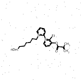 C=C(C)C(=O)Oc1ccc[n+](-c2cccc[n+]2CCCCCCCCCCCCCCCC)c1CC